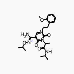 COc1ccccc1CCn1cc(/C(N)=N/OC(C)C)c(=O)n(C(C)C(=O)NC(C)C)c1=O